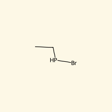 CCPBr